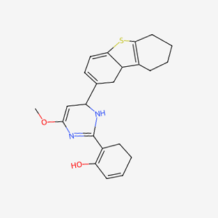 COC1=CC(C2=CC=C3SC4=C(CCCC4)C3C2)NC(C2=C(O)C=CCC2)=N1